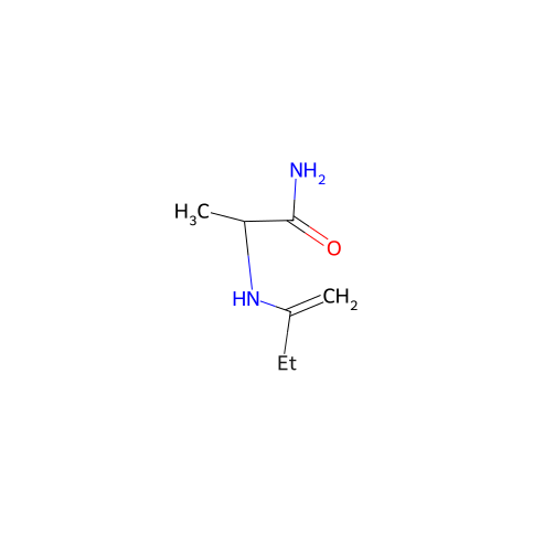 C=C(CC)NC(C)C(N)=O